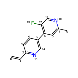 C=Cc1ccc(-c2cc(C)ncc2F)cn1